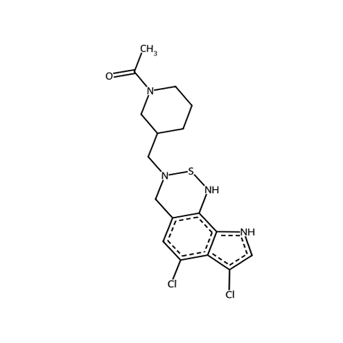 CC(=O)N1CCCC(CN2Cc3cc(Cl)c4c(Cl)c[nH]c4c3NS2)C1